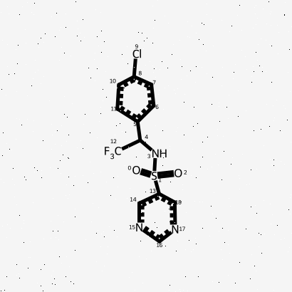 O=S(=O)(NC(c1ccc(Cl)cc1)C(F)(F)F)c1cncnc1